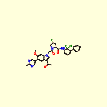 COc1cc2c(cc1-c1cnc(C)nc1)c(C(C)=O)cn2CC(=O)N1C[C@H](F)C[C@H]1C(=O)NC1C=CC=C(c2ccccc2)C1(F)Cl